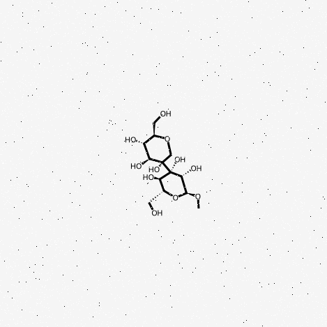 CO[C@H]1O[C@H](CO)[C@@H](O)[C@@](O)([C@]2(O)CO[C@H](CO)[C@@H](O)[C@@H]2O)[C@@H]1O